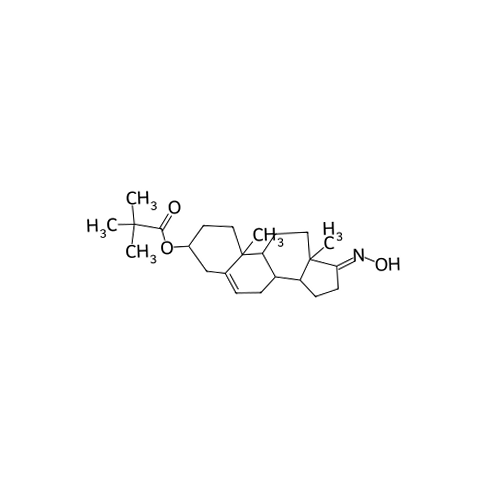 CC(C)(C)C(=O)OC1CCC2(C)C(=CCC3C2CCC2(C)C(=NO)CCC32)C1